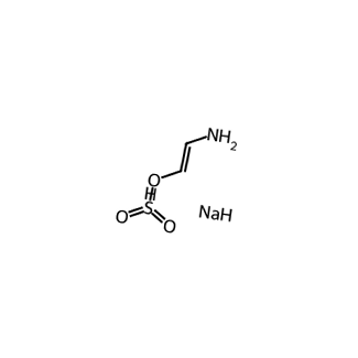 NC=CO[SH](=O)=O.[NaH]